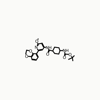 COc1cc(NC(=O)C2CCC(NC(=O)OC(C)(C)C)CC2)cc(-c2cccc3c2OCCO3)n1